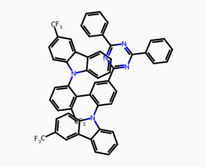 FC(F)(F)c1ccc2c(c1)c1ccccc1n2-c1ccc(-c2nc(-c3ccccc3)nc(-c3ccccc3)n2)cc1-c1c(-n2c3ccccc3c3cc(C(F)(F)F)ccc32)cccc1C(F)(F)F